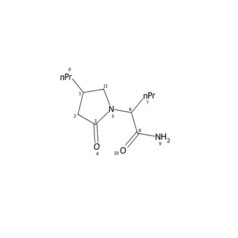 CCCC1CC(=O)N(C(CCC)C(N)=O)C1